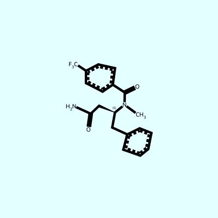 CN(C(=O)c1ccc(C(F)(F)F)cc1)[C@H](CC(N)=O)Cc1ccccc1